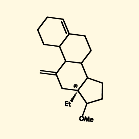 C=C1C[C@]2(CC)C(OC)CCC2C2CCC3=CCCCC3C12